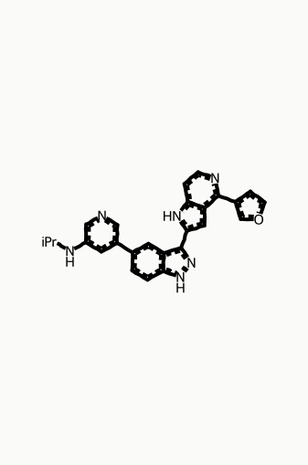 CC(C)Nc1cncc(-c2ccc3[nH]nc(-c4cc5c(-c6ccoc6)nccc5[nH]4)c3c2)c1